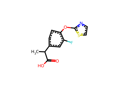 CC(C(=O)O)c1ccc(Oc2nccs2)c(F)c1